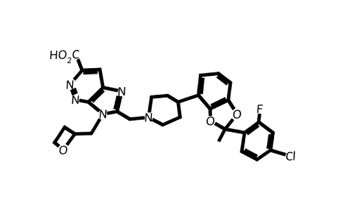 CC1(c2ccc(Cl)cc2F)Oc2cccc(C3CCN(Cc4nc5cc(C(=O)O)nnc5n4CC4CCO4)CC3)c2O1